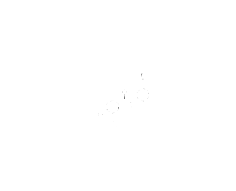 CCC#Cc1cccc(C(=O)C(=O)c2ccc(OC(F)F)c(C3CC3)c2)c1